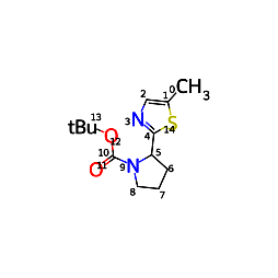 Cc1cnc(C2CCCN2C(=O)OC(C)(C)C)s1